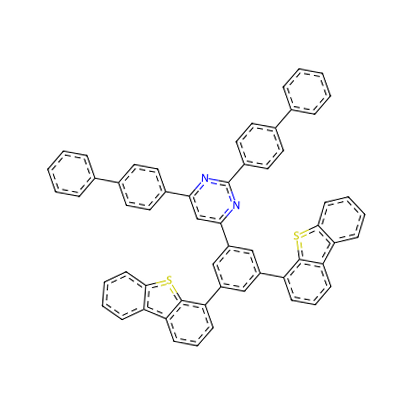 c1ccc(-c2ccc(-c3cc(-c4cc(-c5cccc6c5sc5ccccc56)cc(-c5cccc6c5sc5ccccc56)c4)nc(-c4ccc(-c5ccccc5)cc4)n3)cc2)cc1